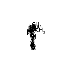 CC(C)n1c(=O)n(C)c2nnc3cc(F)c(-c4ccc(OCCCN5CC6(CCCC6)C5)nc4)cc3c21